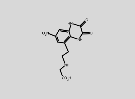 O=C(O)CNCCc1cc([N+](=O)[O-])cc2[nH]c(=O)c(=O)[nH]c12